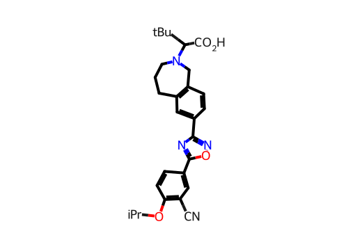 CC(C)Oc1ccc(-c2nc(-c3ccc4c(c3)CCCN(C(C(=O)O)C(C)(C)C)C4)no2)cc1C#N